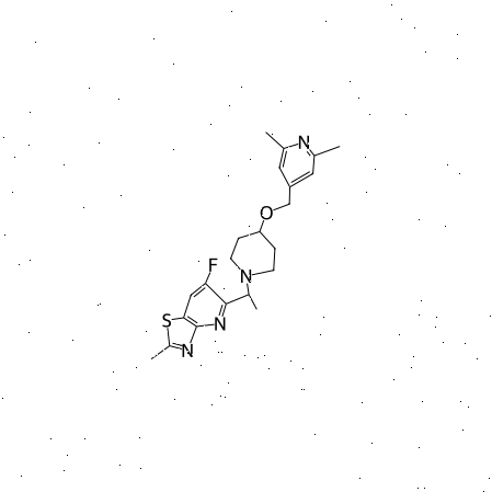 Cc1cc(COC2CCN(C(C)c3nc4nc(C)sc4cc3F)CC2)cc(C)n1